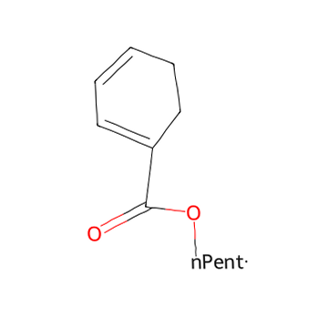 CCCC[CH]OC(=O)C1=CC=CCC1